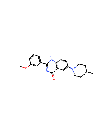 COc1cccc(-c2nc(=O)c3cc(N4CCC(C)CC4)ccc3[nH]2)c1